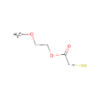 COCCOC(=O)CS